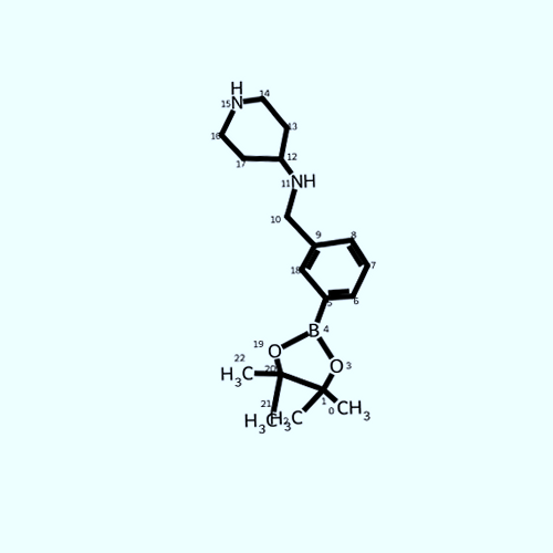 CC1(C)OB(c2cccc(CNC3CCNCC3)c2)OC1(C)C